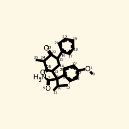 COc1ccc(C(C(N)=O)(C(C)C)C2CC(c3ccccc3)C(=O)C(C)C2=O)cc1